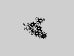 COc1ccc([C@H](Cc2c(Cl)c[n+]([O-])cc2Cl)OC(=O)c2ccc(CN(C(=O)O[C@H]3CN4CCC3CC4)c3cc(OC(=O)C(F)(F)F)ccc3C)cc2)cc1OC